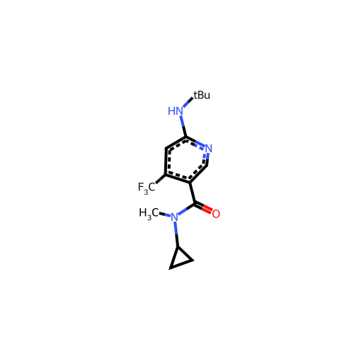 CN(C(=O)c1cnc(NC(C)(C)C)cc1C(F)(F)F)C1CC1